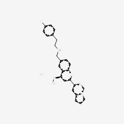 Cl.O/N=c1\cc(-c2cc3cccn3cn2)oc2ccc(CNCCc3ccc(F)cc3)cc12